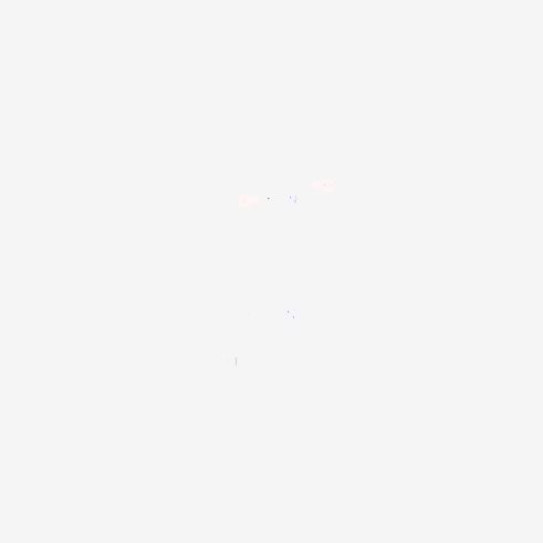 Cc1cc(Cn2cc(C(F)(C(F)(F)F)C(F)(F)F)c3cc(Cl)ccc32)ccc1N1C(=O)c2ccccc2C1=O